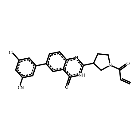 C=CC(=O)N1CCC(c2nc3ccc(-c4cc(Cl)cc(C#N)c4)cc3c(=O)[nH]2)C1